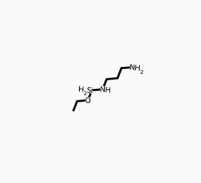 CCO[SiH2]NCCCN